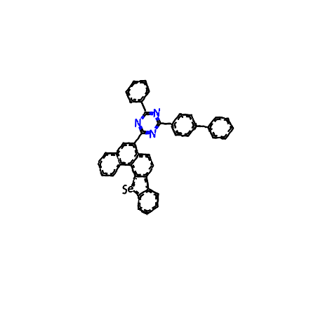 c1ccc(-c2ccc(-c3nc(-c4ccccc4)nc(-c4cc5ccccc5c5c4ccc4c6ccccc6[se]c45)n3)cc2)cc1